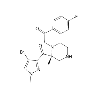 Cn1cc(Br)c(C(=O)[C@@]2(C)CNCCN2CC(=O)c2ccc(F)cc2)n1